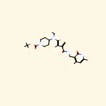 CCN(c1scc(C(=O)NCc2c(C)cc(C)[nH]c2=O)c1C)C1CCN(C(=O)OC(C)(C)C)CC1